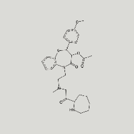 COc1ccc(C2Sc3ccccc3N(CCN(C)CC(=O)C3CCCCCN3)C(=O)C2OC(C)=O)cc1